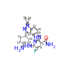 NC(=O)c1cc(F)c(N[C@@H]2CCCC[C@@H]2N)nc1Nc1ccc2c(cnn2C2CC2)c1